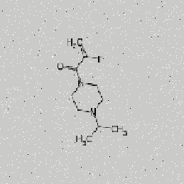 C=C(F)C(=O)N1CCN(C(C)C)CC1